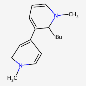 CCC(C)C1C(C2=CCN(C)C=C2)=CC=CN1C